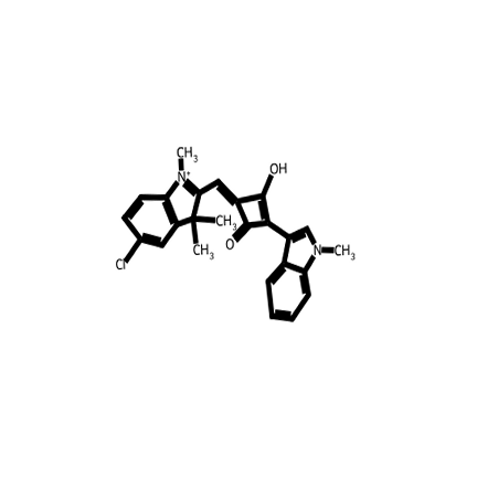 Cn1cc(C2=C(O)/C(=C/C3=[N+](C)c4ccc(Cl)cc4C3(C)C)C2=O)c2ccccc21